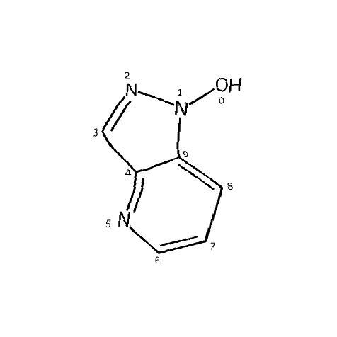 On1ncc2ncccc21